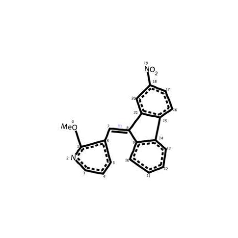 COc1ncccc1/C=C1\c2ccccc2-c2ccc([N+](=O)[O-])cc21